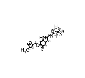 Cc1cc(COc2cc3[nH]c(CNC(=O)CC4(C)COC4)cc3cc2Cl)on1